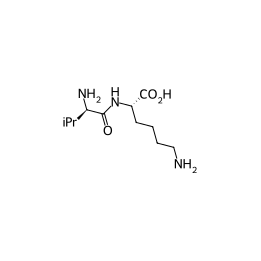 CC(C)[C@@H](N)C(=O)N[C@@H](CCCCN)C(=O)O